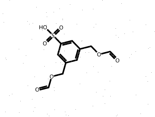 O=COCc1cc(COC=O)cc(S(=O)(=O)O)c1